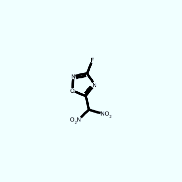 O=[N+]([O-])C(c1nc(F)no1)[N+](=O)[O-]